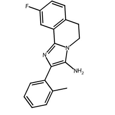 Cc1ccccc1-c1nc2n(c1N)CCc1ccc(F)cc1-2